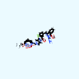 COc1cccc(CN2CC3CN(C(=O)c4cc(Cc5n[nH]c(=O)c6ccccc56)ccc4F)CC3C2)[n+]1[O-]